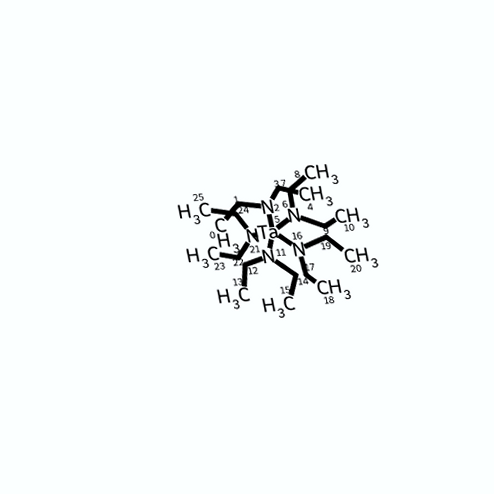 CC[N](CC)[Ta]([N](CC)CC)([N](CC)CC)([N](CC)CC)[N](CC)CC